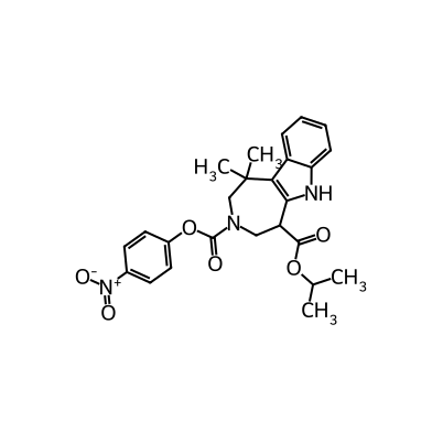 CC(C)OC(=O)C1CN(C(=O)Oc2ccc([N+](=O)[O-])cc2)CC(C)(C)c2c1[nH]c1ccccc21